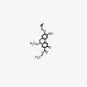 CCOC(=O)c1cn2c(cc1=O)-c1cc(O)c(OCC3CC3)cc1CC2CC